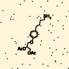 CC(=O)OCC(COc1ccc(CCCCN)cc1)OC(C)=O